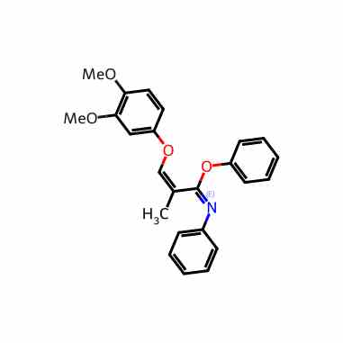 COc1ccc(OC=C(C)/C(=N\c2ccccc2)Oc2ccccc2)cc1OC